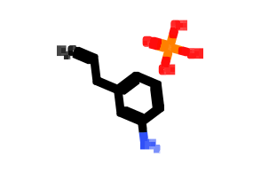 C=CCc1cccc(N)c1.O=P(O)(O)O